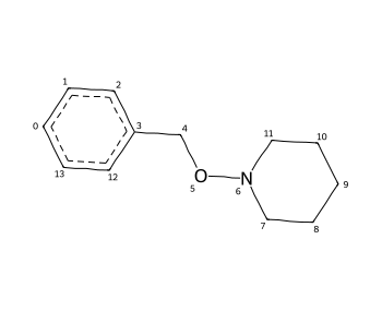 c1ccc(CON2CCCCC2)cc1